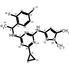 Cc1cc(Nc2nc(NC(C)c3ccc(F)cc3F)nc(C3CC3)n2)nn1C